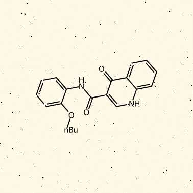 CCCCOc1ccccc1NC(=O)c1c[nH]c2ccccc2c1=O